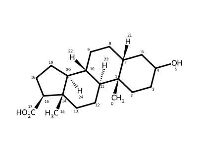 C[C@]12CCC(O)C[C@H]1CC[C@@H]1[C@@H]2CC[C@]2(C)[C@@H](C(=O)O)CC[C@@H]12